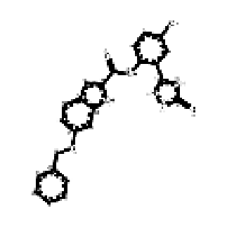 O=C(Nc1ccc(Cl)cc1-c1noc(=O)[nH]1)c1cc2ccc(OCc3ccccc3)cc2[nH]1